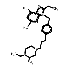 CCc1nc2c(C)cc(C)nc2n1Cc1ccc(CCCN2CCN(CC)C(C)C2)cc1